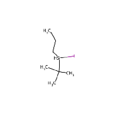 CCC[SiH](I)C(C)(C)C